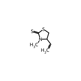 C=CC1CSC(=S)N1C